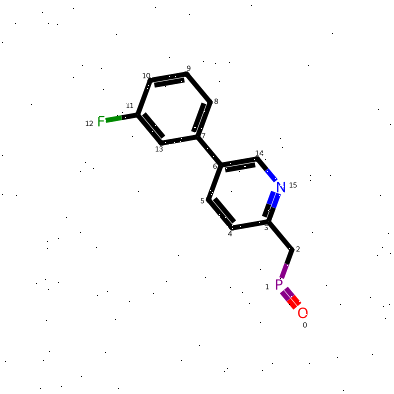 O=PCc1ccc(-c2cccc(F)c2)cn1